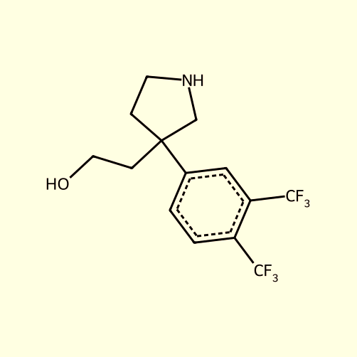 OCCC1(c2ccc(C(F)(F)F)c(C(F)(F)F)c2)CCNC1